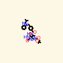 CC(C)c1nc2ccccc2n1Cc1ccc(C(=O)N[C@H]2CN(C(=O)OC(C)(C)C)C[C@]23NC(=O)NC3=O)cc1